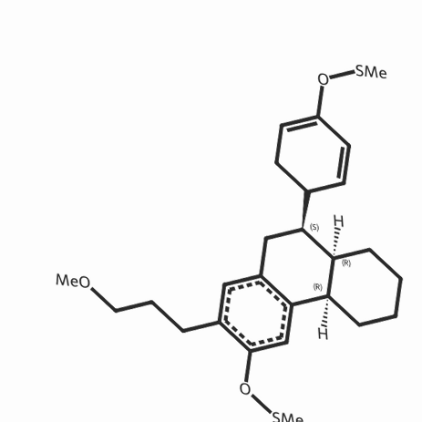 COCCCc1cc2c(cc1OSC)[C@@H]1CCCC[C@@H]1[C@H](C1C=CC(OSC)=CC1)C2